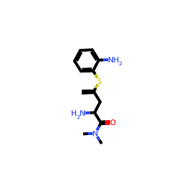 C=C(CC(N)C(=O)N(C)C)Sc1ccccc1N